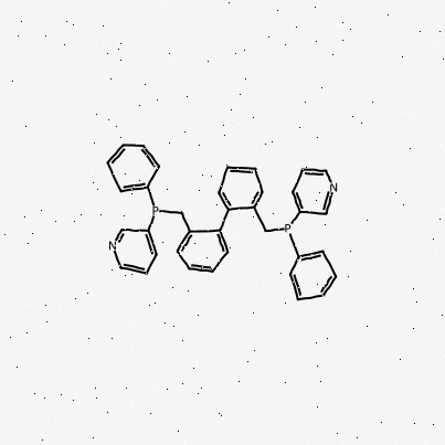 c1ccc(P(Cc2ccccc2-c2ccccc2CP(c2ccccc2)c2cccnc2)c2cccnc2)cc1